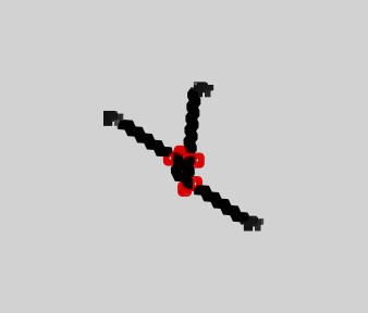 CC(C)CCCCCCCCCCOC(=O)C1CCC(C(=O)OCCCCCCCCCCC(C)C)C(C(=O)OCCCCCCCCCCC(C)C)C1